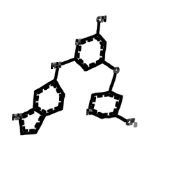 N#Cc1cc(Oc2cncc(C(F)(F)F)c2)cc(Nc2ccc3cc[nH]c3c2)n1